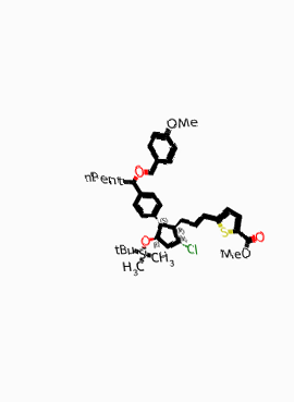 CCCCCC(OCc1ccc(OC)cc1)c1ccc([C@@H]2[C@@H](CCCc3ccc(C(=O)OC)s3)[C@H](Cl)C[C@H]2O[Si](C)(C)C(C)(C)C)cc1